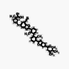 Cc1c(-c2nc3c(o2)CN(C(=O)CN(C)C(C)C)C3)cccc1-c1cccc(-c2nc3cc(CN4CCC(C)(C(=O)O)C4)cc(C#N)c3o2)c1C